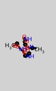 CCc1ccc(CCOc2ccc(CC3SC(=O)NC3=O)cc2)nc1.COc1ccccc1OCCNCC(O)COc1cccc2[nH]c3ccccc3c12